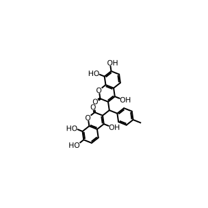 Cc1ccc(C(c2c(O)c3ccc(O)c(O)c3oc2=O)c2c(O)c3ccc(O)c(O)c3oc2=O)cc1